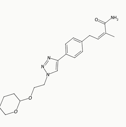 CC(=CCc1ccc(-c2cn(CCOC3CCCCO3)nn2)cc1)C(N)=O